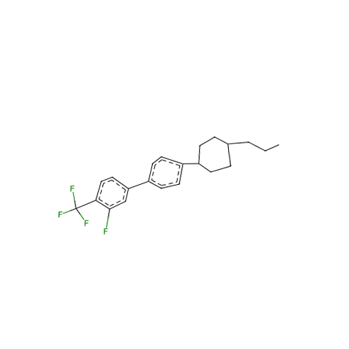 CCCC1CCC(c2ccc(-c3ccc(C(F)(F)F)c(F)c3)cc2)CC1